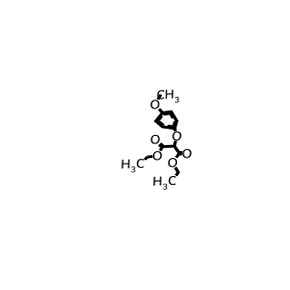 CCOC(=O)C(Oc1ccc(OC)cc1)C(=O)OCC